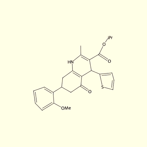 COc1ccccc1C1CC(=O)C2=C(C1)NC(C)=C(C(=O)OC(C)C)C2c1cccs1